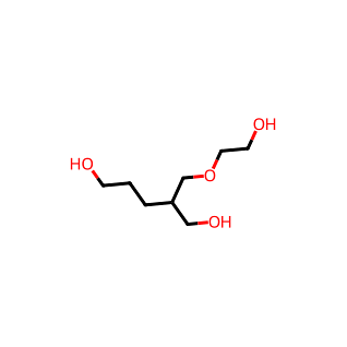 OCCCC(CO)COCCO